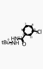 CC(C)(C)NNC(=O)c1cccc(Cl)c1